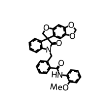 COc1ccccc1NC(=O)c1ccccc1CN1C(=O)C2(COc3cc4c(cc32)OCO4)c2ccccc21